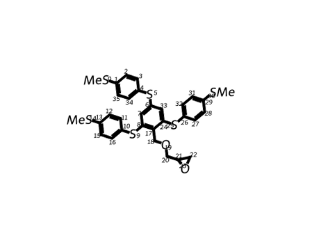 CSc1ccc(Sc2cc(Sc3ccc(SC)cc3)c(COCC3CO3)c(Sc3ccc(SC)cc3)c2)cc1